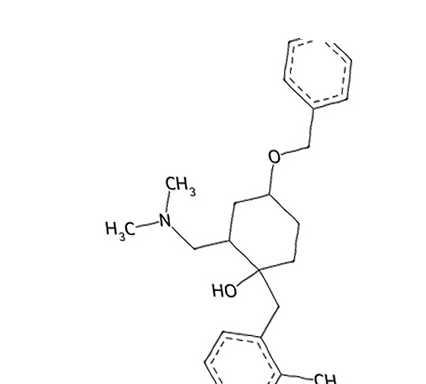 Cc1ccccc1CC1(O)CCC(OCc2ccccc2)CC1CN(C)C